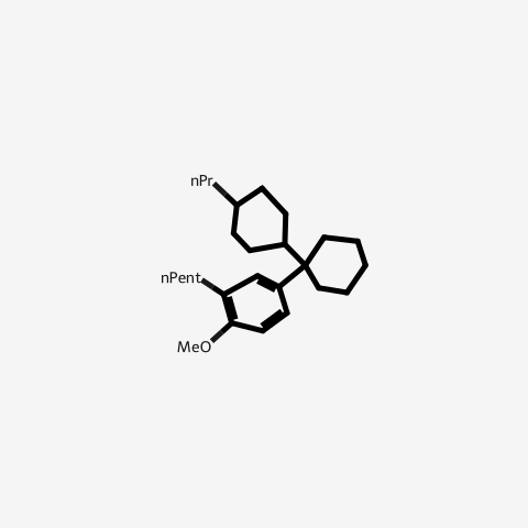 CCCCCc1cc(C2(C3CCC(CCC)CC3)CCCCC2)ccc1OC